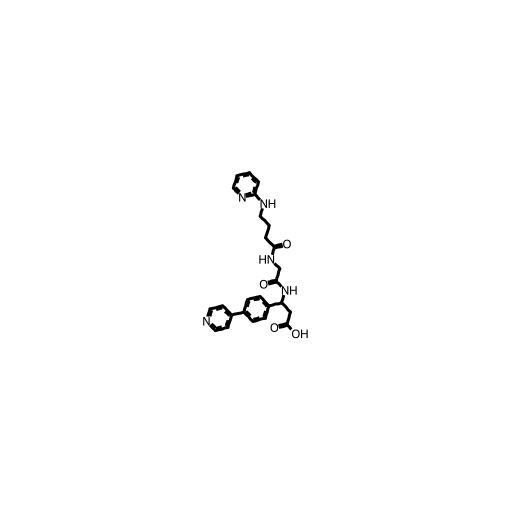 O=C(O)CC(NC(=O)CNC(=O)CCCNc1ccccn1)c1ccc(-c2ccncc2)cc1